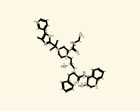 Cc1nc(C(C)(C)N2CCN(C[C@@H](O)C[C@@H](Cc3ccccc3)C(=O)N[C@H]3c4ccccc4OC[C@H]3O)[C@H](C(=O)NCC(F)(F)F)C2)oc1-c1cccnc1